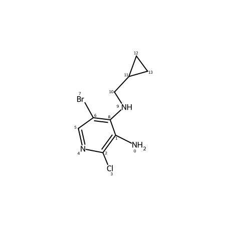 Nc1c(Cl)ncc(Br)c1NCC1CC1